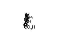 CC(C)CC(=O)OC(OC(=O)NC[C@H]1CC[C@H](C(=O)O)CC1)C(C)C